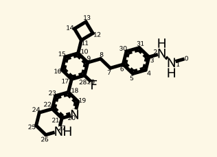 CNNc1ccc(CCc2c(C3CCC3)ccc(-c3cnc4c(c3)CCCN4)c2F)cc1